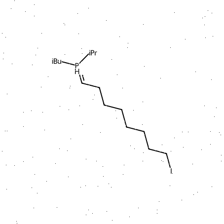 CCC(C)/[PH](=C/CCCCCCCI)C(C)C